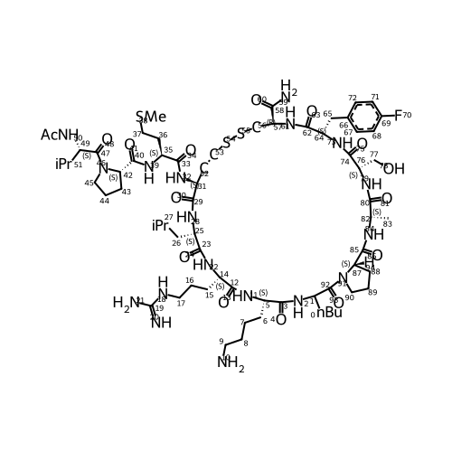 CCCCC1NC(=O)[C@H](CCCCN)NC(=O)[C@H](CCCNC(=N)N)NC(=O)[C@H](CC(C)C)NC(=O)[C@@H](NC(=O)[C@H](CCSC)NC(=O)[C@@H]2CCCN2C(=O)[C@@H](NC(C)=O)C(C)C)CCSSC[C@@H](C(N)=O)NC(=O)[C@H](Cc2ccc(F)cc2)NC(=O)[C@H](CO)NC(=O)[C@H](C)NC(=O)[C@@H]2CCCN2C1=O